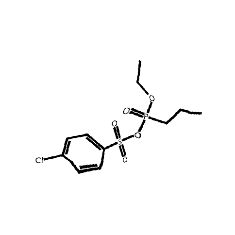 CCCP(=O)(OCC)OS(=O)(=O)c1ccc(Cl)cc1